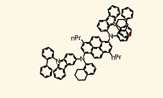 CCCc1cc(N(c2ccc3c(c2)c2ccccc2n3-c2ccccc2-c2ccccc2)c2cccc3c2CCCC3)c2ccc3c(CCC)cc(N(c4cccc5c4CCCC5)c4cccc5c6ccccc6n(-c6ccccc6-c6ccccc6)c45)c4ccc1c2c34